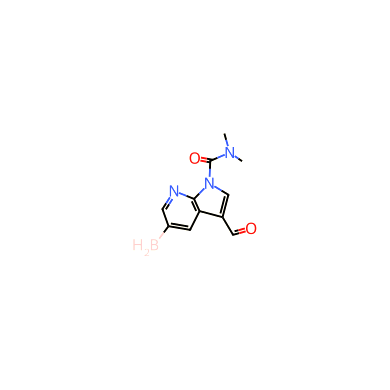 Bc1cnc2c(c1)c(C=O)cn2C(=O)N(C)C